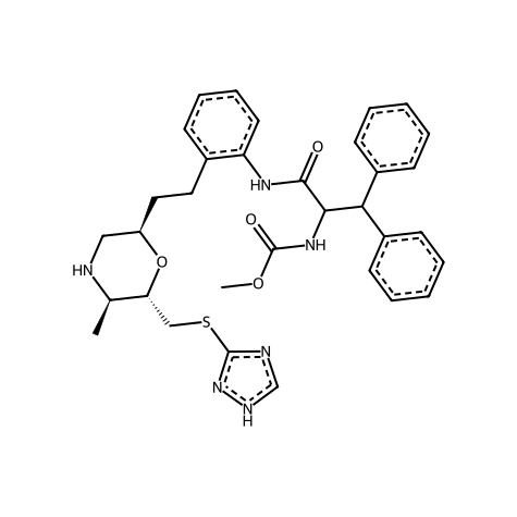 COC(=O)NC(C(=O)Nc1ccccc1CC[C@@H]1CN[C@H](C)[C@@H](CSc2nc[nH]n2)O1)C(c1ccccc1)c1ccccc1